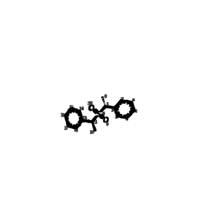 C[C@H](c1ccccc1)S(=O)(=O)[C@@H](C)c1ccccc1